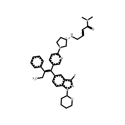 CN(C)C(=O)/C=C/CN[C@H]1CCN(c2ccc(/C(=C(/CC(F)(F)F)c3ccccc3)c3ccc4c(c3)c(F)nn4C3CCCCO3)cn2)C1